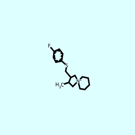 CC1C[N+]2(CCCCC2)CC1CSc1ccc(F)cc1